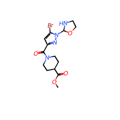 COC(=O)C1CCN(C(=O)c2cc(Br)n(C3NCCO3)n2)CC1